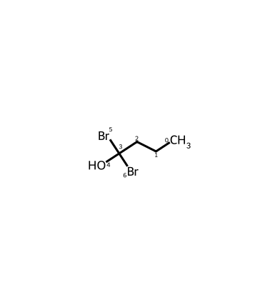 CCCC(O)(Br)Br